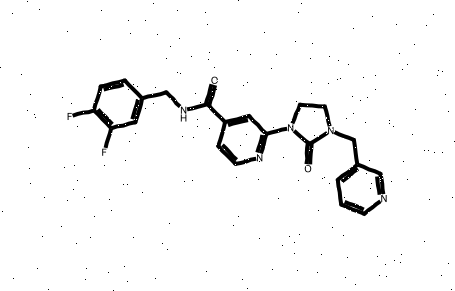 O=C(NCc1ccc(F)c(F)c1)c1ccnc(N2CCN(Cc3cccnc3)C2=O)c1